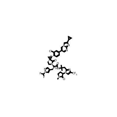 CN1CCC(n2cc(C(F)(F)F)nc2CC(C)(C)NC(=O)[C@@H](Cc2cnn(C(F)F)c2)N2CC[C@@]3(C[C@@H]3c3ccc(-c4cnc5nc(C6CC6)cn5c4)cc3Cl)C2=O)C1=O